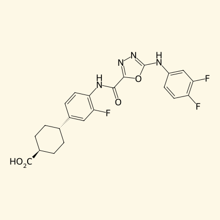 O=C(Nc1ccc([C@H]2CC[C@H](C(=O)O)CC2)cc1F)c1nnc(Nc2ccc(F)c(F)c2)o1